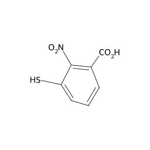 O=C(O)c1cccc(S)c1[N+](=O)[O-]